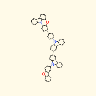 c1ccc2c(c1)oc1ccc(-n3c4ccccc4c4cc(-c5ccc6c(c5)c5ccccc5n6-c5ccc(-c6ccc7c(c6)Oc6cccc8c9ccccc9n-7c68)cc5)ccc43)cc12